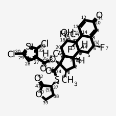 C[C@@H]1C[C@H]2[C@@H]3C[C@H](F)C4=CC(=O)C=C[C@]4(C)[C@@]3(F)[C@@H](O)C[C@]2(C)[C@@]1(OC(=O)c1cc(Cl)sc1Cl)C(=O)S[C@H]1CCOC1=O